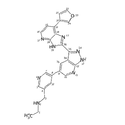 CCNCc1cncc(-c2cnc3[nH]nc(-c4nc5c(-c6ccoc6)ccnc5[nH]4)c3c2)c1